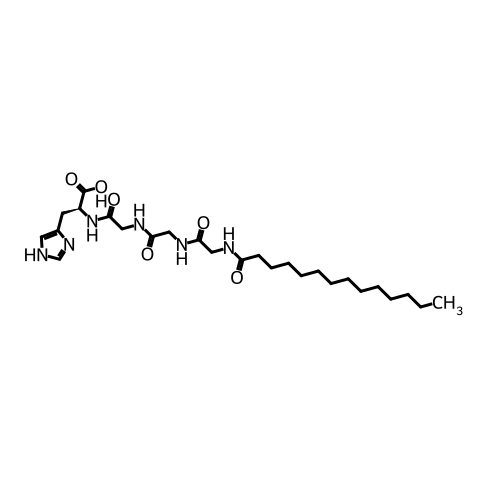 CCCCCCCCCCCCCC(=O)NCC(=O)NCC(=O)NCC(=O)N[C@@H](Cc1c[nH]cn1)C(=O)O